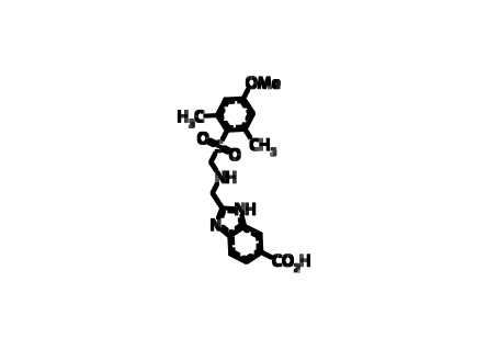 COc1cc(C)c(S(=O)(=O)CNCc2nc3ccc(C(=O)O)cc3[nH]2)c(C)c1